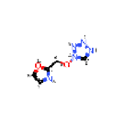 [c]1nnnn1OCc1ncco1